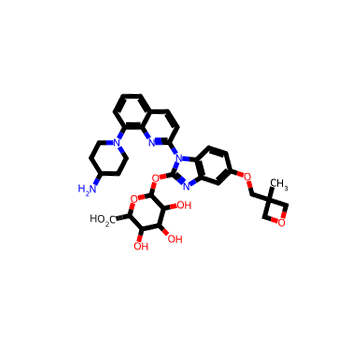 CC1(COc2ccc3c(c2)nc(OC2OC(C(=O)O)C(O)C(O)C2O)n3-c2ccc3cccc(N4CCC(N)CC4)c3n2)COC1